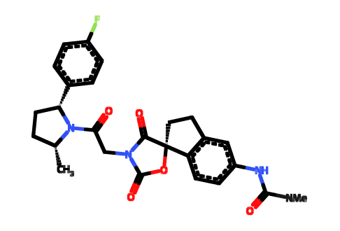 CNC(=O)Nc1ccc2c(c1)CC[C@@]21OC(=O)N(CC(=O)N2[C@H](C)CC[C@@H]2c2ccc(F)cc2)C1=O